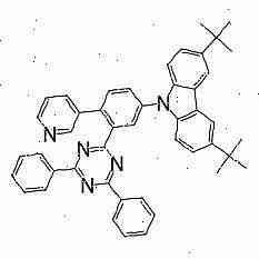 CC(C)(C)c1ccc2c(c1)c1cc(C(C)(C)C)ccc1n2-c1ccc(-c2cccnc2)c(-c2nc(-c3ccccc3)nc(-c3ccccc3)n2)c1